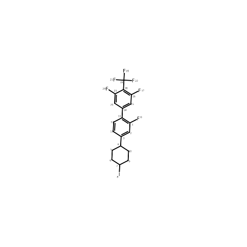 Fc1cc(C2CCC(I)CC2)ccc1-c1cc(F)c(C(F)(F)F)c(F)c1